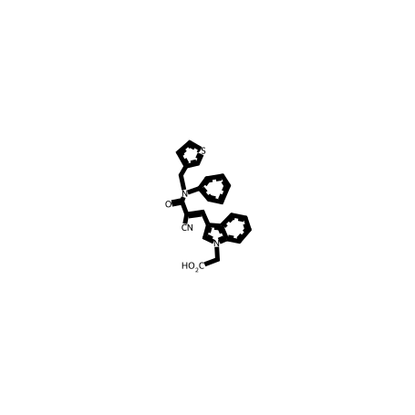 N#C/C(=C\c1cn(CC(=O)O)c2ccccc12)C(=O)N(Cc1ccsc1)c1ccccc1